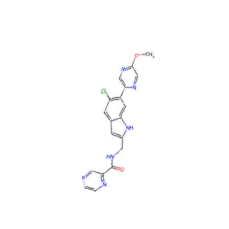 COc1cnc(-c2cc3[nH]c(CNC(=O)c4cnccn4)cc3cc2Cl)cn1